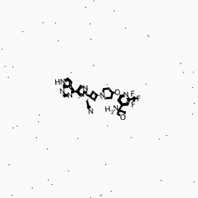 N#CC[C@]1(n2cc(-c3ncnc4[nH]ccc34)cn2)C[C@H](N2CCC(Oc3cc(C4(N)COC4)cc(C(F)(F)F)n3)CC2)C1